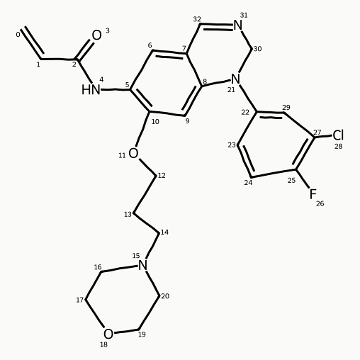 C=CC(=O)Nc1cc2c(cc1OCCCN1CCOCC1)N(c1ccc(F)c(Cl)c1)CN=C2